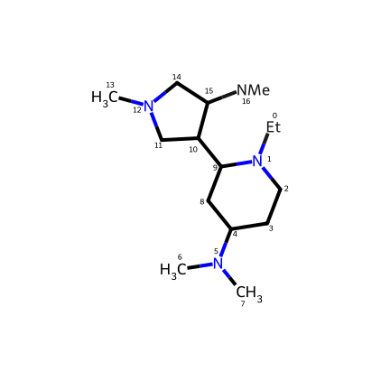 CCN1CCC(N(C)C)CC1C1CN(C)CC1NC